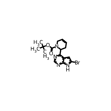 CC(C)(C)OC(=O)N1CC=CCC1c1ncnc2[nH]c(Br)cc12